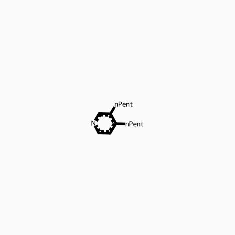 CCCCCc1ccncc1CCCCC